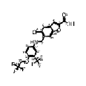 O=C(O)c1cc2cc(Cl)c(CNc3ccc(OCC(F)(F)F)c(C(F)(F)F)c3)cc2o1